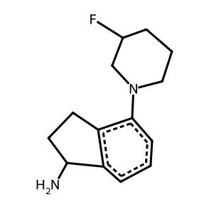 NC1CCc2c1cccc2N1CCCC(F)C1